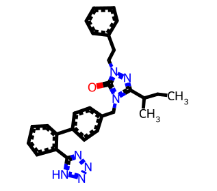 CCC(C)c1nn(CCc2ccccc2)c(=O)n1Cc1ccc(-c2ccccc2-c2nnn[nH]2)cc1